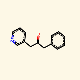 O=C(Cc1ccccc1)Cc1cccnc1